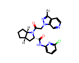 CC(=O)c1nn(CC(=O)N2[C@H](C(=O)Nc3cccc(Cl)n3)C[C@@H]3CCC[C@@H]32)c2cnccc12